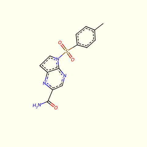 Cc1ccc(S(=O)(=O)n2ccc3nc(C(N)=O)cnc32)cc1